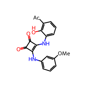 COc1cccc(Nc2c(Nc3cccc(C(C)=O)c3O)c(=O)c2=O)c1